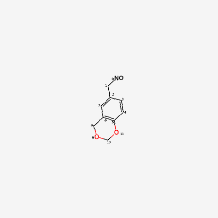 O=NCc1ccc2c(c1)COCO2